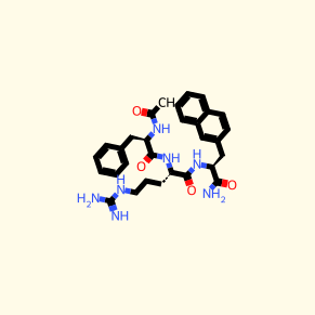 CC(=O)N[C@H](Cc1ccccc1)C(=O)N[C@@H](CCCNC(=N)N)C(=O)N[C@@H](Cc1ccc2ccccc2c1)C(N)=O